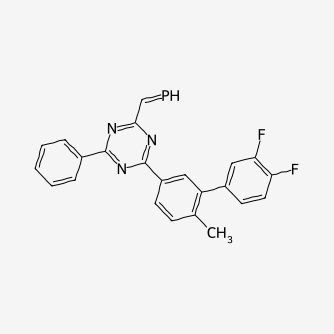 Cc1ccc(-c2nc(C=P)nc(-c3ccccc3)n2)cc1-c1ccc(F)c(F)c1